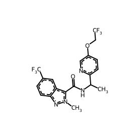 CC(NC(=O)c1c2cc(C(F)(F)F)ccc2nn1C)c1ccc(OCC(F)(F)F)cn1